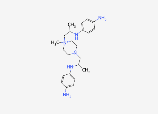 CC(CN1CC[N+](C)(CC(C)Nc2ccc(N)cc2)CC1)Nc1ccc(N)cc1